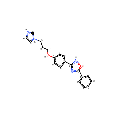 c1ccc(-c2nc(-c3ccc(OCCCn4ccnc4)cc3)no2)cc1